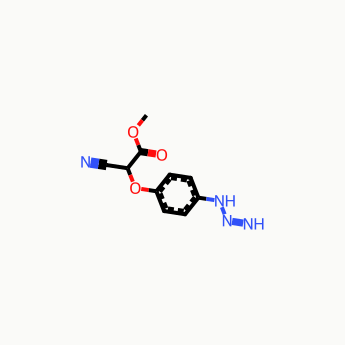 COC(=O)C(C#N)Oc1ccc(NN=N)cc1